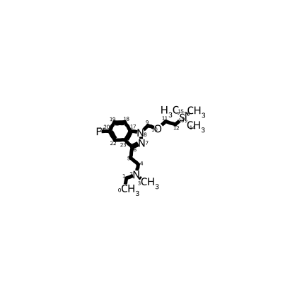 CCN(C)CCc1nn(COCC[Si](C)(C)C)c2ccc(F)cc12